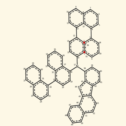 c1ccc(-c2cccc3cccc(-c4ccc(N(c5ccc(-c6cccc7ccccc67)c6ccccc56)c5cccc6c5sc5c7ccccc7ccc65)cc4)c23)cc1